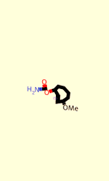 COC1/C=C/C(OC(N)=O)CCCC1